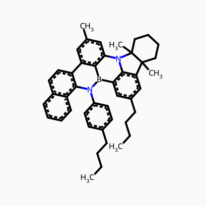 CCCCc1ccc(N2B3c4cc(CCCC)cc5c4N(c4cc(C)cc(c43)-c3ccc4ccccc4c32)C2(C)CCCCC52C)cc1